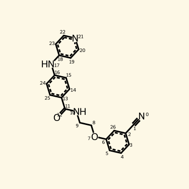 N#Cc1cccc(OCCNC(=O)c2ccc(Nc3ccncc3)cc2)c1